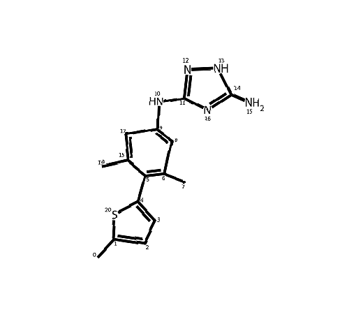 Cc1ccc(-c2c(C)cc(Nc3n[nH]c(N)n3)cc2C)s1